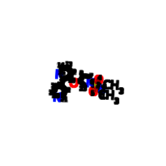 CN(C)S(=O)(=O)N1CCC(Oc2cccnc2-c2ccncc2)C1